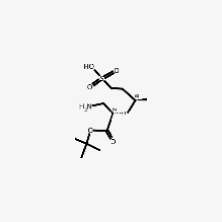 C[C@H](CCS(=O)(=O)O)C[C@@H](CN)C(=O)OC(C)(C)C